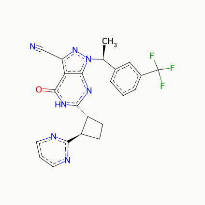 C[C@@H](c1cccc(C(F)(F)F)c1)n1nc(C#N)c2c(=O)[nH]c([C@@H]3CC[C@H]3c3ncccn3)nc21